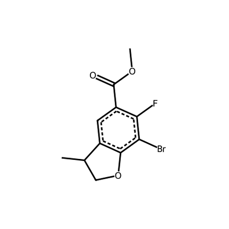 COC(=O)c1cc2c(c(Br)c1F)OCC2C